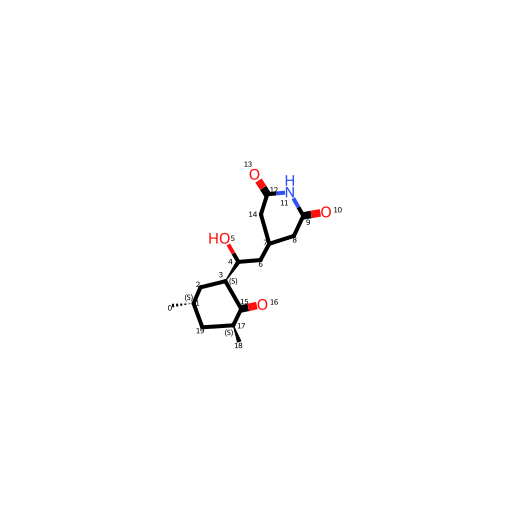 C[C@@H]1C[C@@H](C(O)CC2CC(=O)NC(=O)C2)C(=O)[C@@H](C)C1